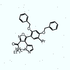 CCNC(=O)c1noc(-c2cc(C(C)C)c(OCc3ccccc3)cc2OCc2ccccc2)c1-c1ccnn1C